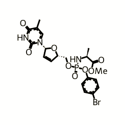 COC(=O)[C@H](C)N[P@](=O)(OC[C@@H]1C=C[C@H](n2cc(C)c(=O)[nH]c2=O)O1)Oc1ccc(Br)cc1